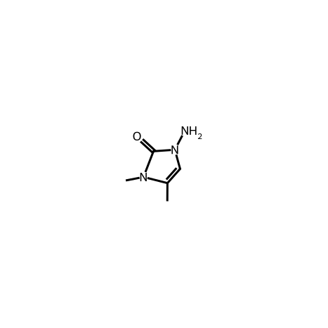 Cc1cn(N)c(=O)n1C